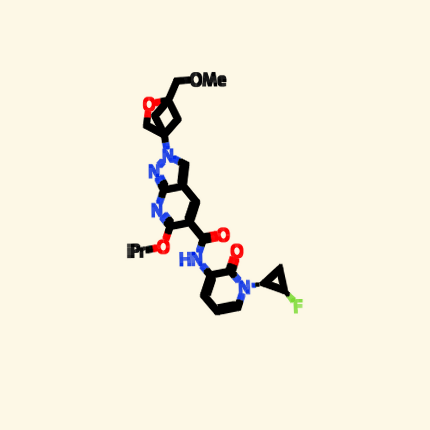 COCC12CC(n3cc4cc(C(=O)Nc5cccn([C@@H]6C[C@H]6F)c5=O)c(OC(C)C)nc4n3)(CO1)C2